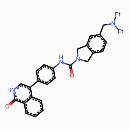 CCN(CC)Cc1ccc2c(c1)CN(C(=O)Nc1ccc(-c3c[nH]c(=O)c4ccccc34)cc1)C2